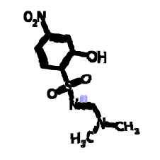 CN(C)/C=N/S(=O)(=O)c1ccc([N+](=O)[O-])cc1O